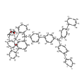 c1ccc(-c2ccc(N(c3ccc(-c4ccccc4)cc3)c3ccc(-c4ccc(N5c6ccccc6C6(c7ccccc7Oc7ccccc76)c6cc(-c7ccccc7)ccc65)cc4)cc3)cc2)cc1